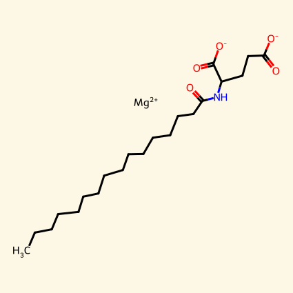 CCCCCCCCCCCCCCCC(=O)NC(CCC(=O)[O-])C(=O)[O-].[Mg+2]